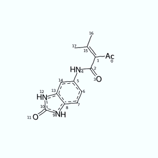 CC(=O)C(C(=O)Nc1ccc2[nH]c(=O)[nH]c2c1)=C(C)C